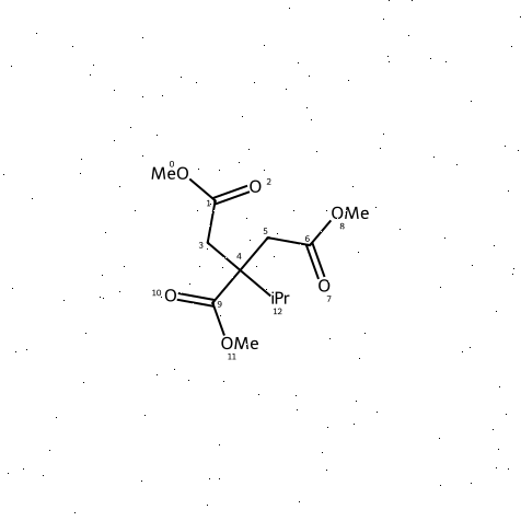 COC(=O)CC(CC(=O)OC)(C(=O)OC)C(C)C